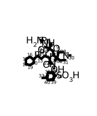 CCCC(CC(C)C)(C(=O)NN)C(=O)[C@H](C(CCCC1CCCCC1)C(=O)NO)C1(C)CCN(C)CC1.Cc1ccc(S(=O)(=O)O)cc1